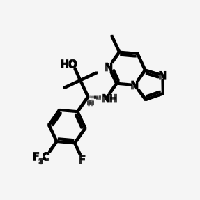 Cc1cc2nccn2c(N[C@H](c2ccc(C(F)(F)F)c(F)c2)C(C)(C)O)n1